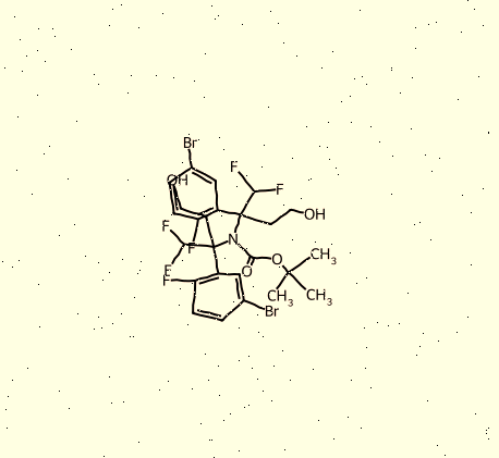 CC(C)(C)OC(=O)N(C(CCO)(c1cc(Br)ccc1F)C(F)F)C(CCO)(c1cc(Br)ccc1F)C(F)F